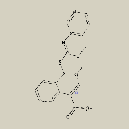 CO/C=C(/C(=O)O)c1ccccc1CSC(=Nc1cccnc1)SC